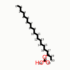 CCCCCCCCCCCCCCCCCCC(CC)OC(=O)O